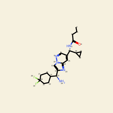 CCCC(=O)N[C@@H](c1cnn2cc([C@@H](N)C3CCC(F)(F)CC3)nc2c1)C1CC1